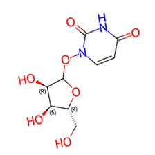 O=c1ccn(OC2O[C@H](CO)[C@@H](O)[C@H]2O)c(=O)[nH]1